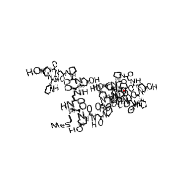 CSCC[C@H](NC(=O)CNC(=O)[C@@H]1C[C@@H](O)CN1C(=O)[C@@H]1CCCN1C(=O)CNC(=O)[C@@H]1C[C@@H](O)CN1C(=O)[C@@H]1CCCN1)C(=O)N1C[C@H](O)C[C@H]1C(=O)NCC(=O)N1CCC[C@H]1C(=O)N1C[C@H](O)C[C@H]1C(=O)NCC(=O)N1CCC[C@H]1C(=O)N1C[C@H](O)C[C@H]1C(=O)NCC(=O)N1CCC[C@H]1C(=O)N1C[C@H](O)C[C@H]1C(=O)NCC(=O)N1CCC[C@H]1C(=O)N1C[C@H](O)C[C@H]1C(=O)NCC(=O)O